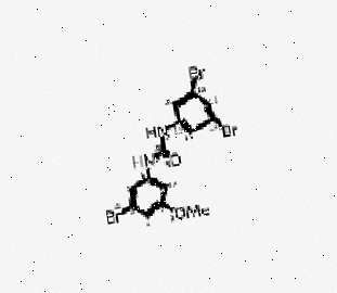 COc1cc(Br)cc(NC(=O)Nc2cc(Br)cc(Br)c2)c1